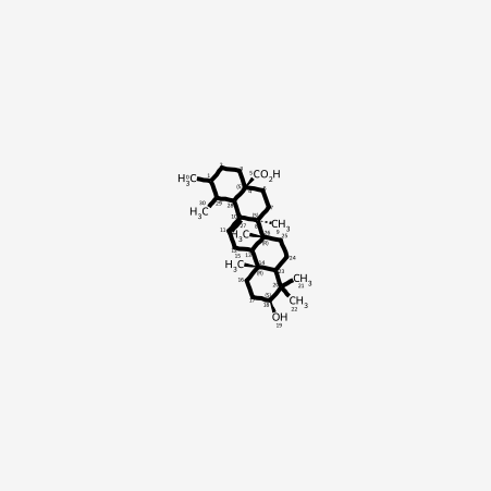 CC1CC[C@]2(C(=O)O)CC[C@]3(C)C(=CCC4[C@@]5(C)CC[C@H](O)C(C)(C)C5CC[C@]43C)C2C1C